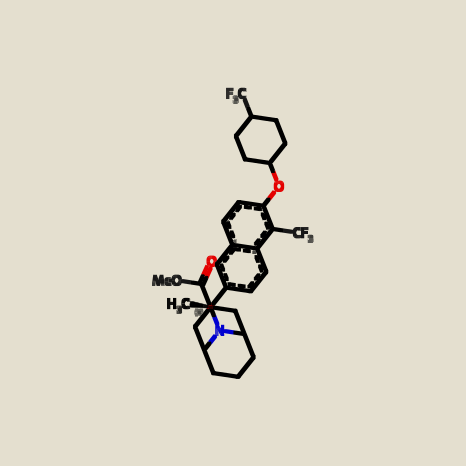 COC(=O)C1CC2CCCC(C1)N2[C@@H](C)c1ccc2c(C(F)(F)F)c(OC3CCC(C(F)(F)F)CC3)ccc2c1